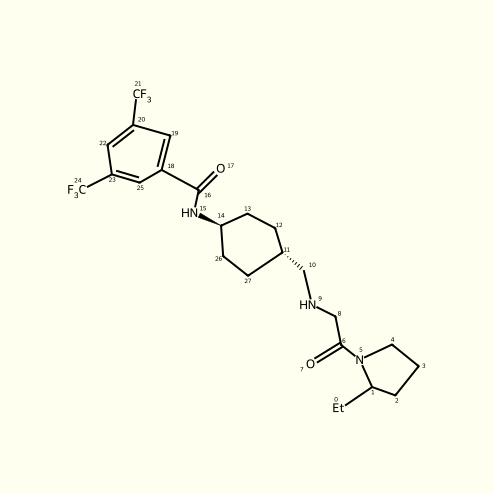 CCC1CCCN1C(=O)CNC[C@H]1CC[C@H](NC(=O)c2cc(C(F)(F)F)cc(C(F)(F)F)c2)CC1